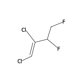 FCC(F)C(Cl)=CCl